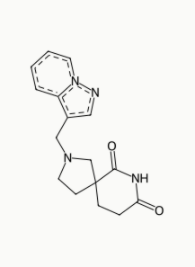 O=C1CCC2(CCN(Cc3cnn4ccccc34)C2)C(=O)N1